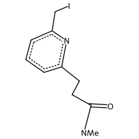 CNC(=O)CCc1cccc(CI)n1